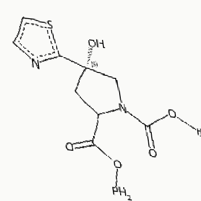 CC(C)(C)OC(=O)N1C[C@](O)(c2nccs2)CC1C(=O)OP